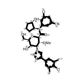 CO[C@@H]1[C@@H](n2cc(-c3cc(F)c(Cl)c(F)c3)nn2)[C@@H](O)[C@@H](CO)O[C@H]1C(=O)N(c1cc(Cl)cc(C#N)c1)[C@H]1CCC[C@@H]1O